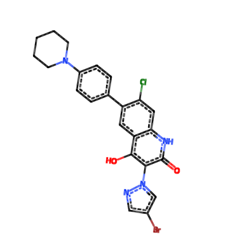 O=c1[nH]c2cc(Cl)c(-c3ccc(N4CCCCC4)cc3)cc2c(O)c1-n1cc(Br)cn1